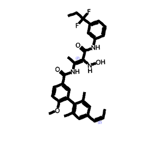 C/C=C\c1cc(C)c(-c2cc(C(=O)N/C(C)=C(\NO)C(=O)Nc3cccc(C(F)(F)CC)c3)ccc2OC)c(C)c1